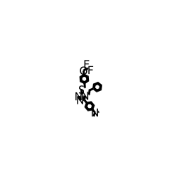 CN(C)c1ccc(-c2nnc(SCc3ccc(OC(F)F)cc3)n2CCc2ccccc2)cc1